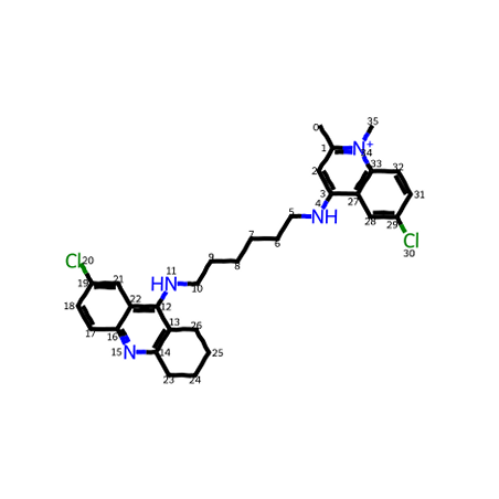 Cc1cc(NCCCCCCNc2c3c(nc4ccc(Cl)cc24)CCCC3)c2cc(Cl)ccc2[n+]1C